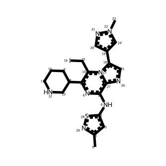 Cc1cc(Nc2nc(C3CCCNC3)c(CI)n3c(-c4cnn(C)c4)cnc23)sn1